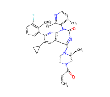 C=CC(=O)N1CCN(c2nc(=O)n(-c3c(C)ccnc3C(C)C)c3nc(-c4cccc(F)c4OC)c(C4CC4)cc23)[C@@H](C)C1